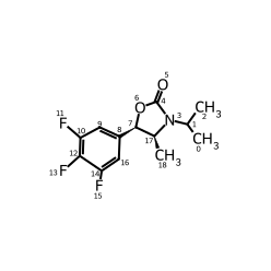 CC(C)N1C(=O)O[C@H](c2cc(F)c(F)c(F)c2)[C@@H]1C